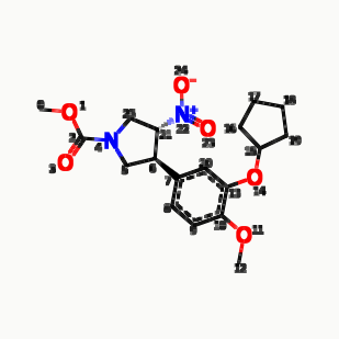 COC(=O)N1C[C@H](c2ccc(OC)c(OC3CCCC3)c2)[C@@H]([N+](=O)[O-])C1